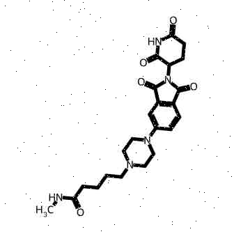 CNC(=O)CCCCN1CCN(c2ccc3c(c2)C(=O)N(C2CCC(=O)NC2=O)C3=O)CC1